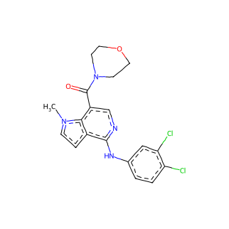 Cn1ccc2c(Nc3ccc(Cl)c(Cl)c3)ncc(C(=O)N3CCOCC3)c21